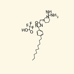 CCCCCCCCCCc1ccc(-c2noc(C[C@@H]3CCCN(C(=N)N)C3)n2)cc1.O=C(O)C(F)(F)F